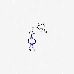 CC(C)OC1CC(N2CCN(C)CC2)C1